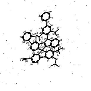 CC(C)Cc1cc2c(cc1C(C)(C)C)C1(C3=C(c4c1ccc1c4Cc4ccccc4-1)C(c1c(C(C)C)cc(-c4ccccc4)cc1C(C)C)c1ccccc13)c1cc(C#N)ccc1-2